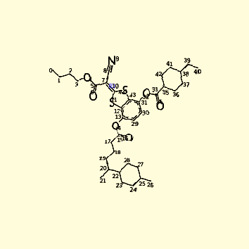 CCCCOC(=O)/C(C#N)=C1\Sc2c(OC(=O)CCCC(C)C3CCC(C)CC3)ccc(OC(=O)C3CCC(CC)CC3)c2S1